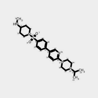 CNC1CCN(S(=O)(=O)c2ccc(-c3ccc(N4CCN(C(C)C)CC4)nc3)cc2)CC1